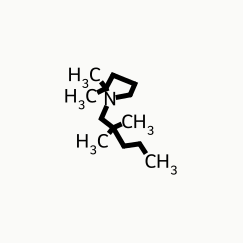 CCCC(C)(C)CN1CCCC1(C)C